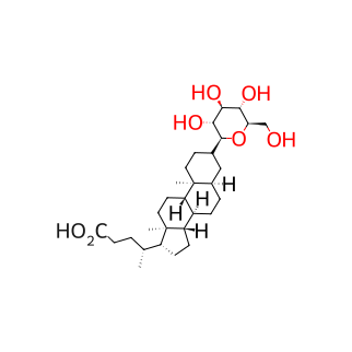 C[C@H](CCC(=O)O)[C@H]1CC[C@H]2[C@@H]3CC[C@@H]4CC([C@@H]5O[C@H](CO)[C@@H](O)[C@H](O)[C@H]5O)CC[C@]4(C)[C@H]3CC[C@]12C